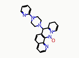 O=Nc1c(C(C2=NC=CCC2)N2CCN(c3ccccn3)CC2)ccc2cccnc12